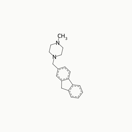 CN1CCN(Cc2ccc3c(c2)Cc2ccccc2-3)CC1